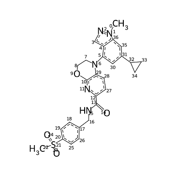 Cn1ncc2c(N3CCOc4nc(C(=O)NCc5ccc(S(C)(=O)=O)cc5)ccc43)cc(C3CC3)cc21